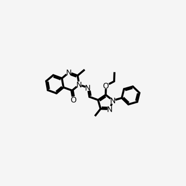 CCOc1c(C=Nn2c(C)nc3ccccc3c2=O)c(C)nn1-c1ccccc1